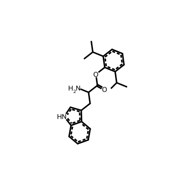 CC(C)c1cccc(C(C)C)c1OC(=O)C(N)Cc1c[nH]c2ccccc12